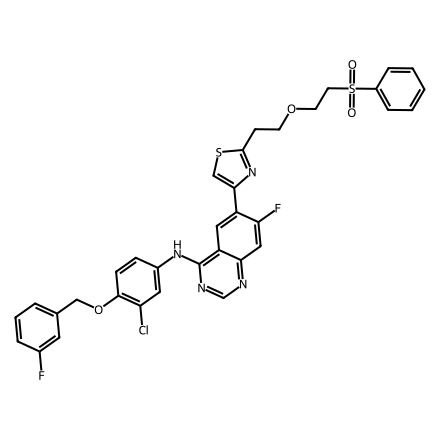 O=S(=O)(CCOCCc1nc(-c2cc3c(Nc4ccc(OCc5cccc(F)c5)c(Cl)c4)ncnc3cc2F)cs1)c1ccccc1